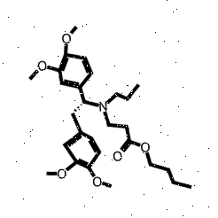 CCCCOC(=O)CCN(CCC)[C@H](Cc1ccc(OC)c(OC)c1)c1ccc(OC)c(OC)c1